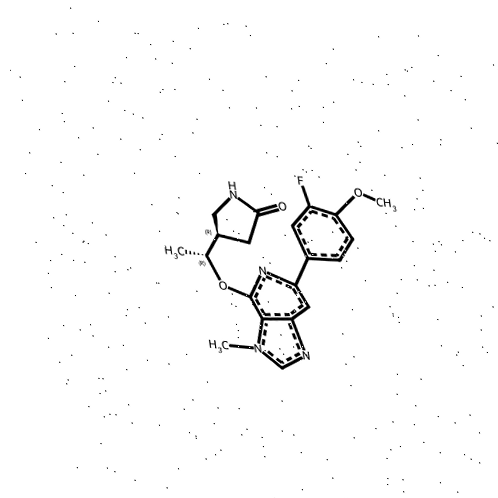 COc1ccc(-c2cc3ncn(C)c3c(O[C@H](C)[C@H]3CNC(=O)C3)n2)cc1F